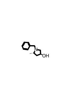 C[C@H]1C[C@H](O)CN1Cc1ccccc1